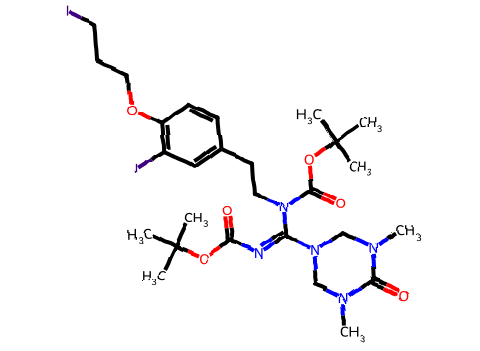 CN1CN(/C(=N/C(=O)OC(C)(C)C)N(CCc2ccc(OCCCI)c(I)c2)C(=O)OC(C)(C)C)CN(C)C1=O